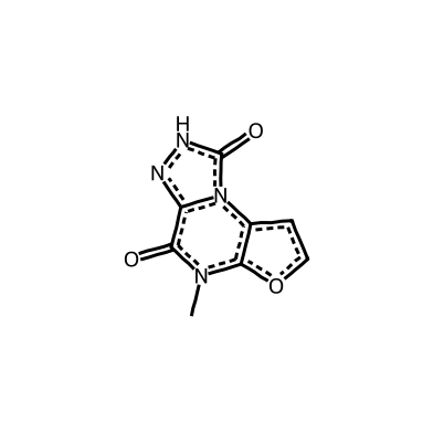 Cn1c(=O)c2n[nH]c(=O)n2c2ccoc21